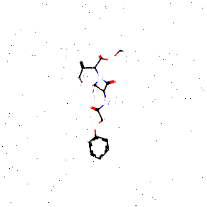 C=C1C[S+]([O-])[C@H]2C(NC(=O)COc3ccccc3)C(=O)N2C1C(=O)OCC(Cl)(Cl)Cl